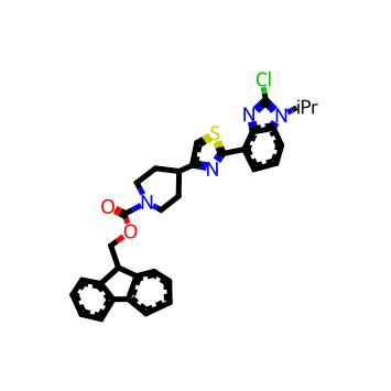 CC(C)n1c(Cl)nc2c(-c3nc(C4CCN(C(=O)OCC5c6ccccc6-c6ccccc65)CC4)cs3)cccc21